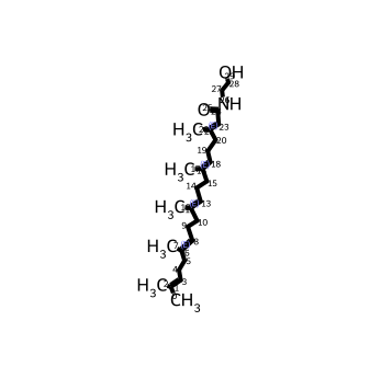 CC(C)=CCC/C(C)=C/CC/C(C)=C/CC/C(C)=C/CC/C(C)=C/C(=O)NCCO